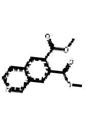 COC(=O)c1cc2ccncc2cc1C(=O)OC